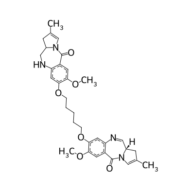 COc1cc2c(cc1OCCCCCOc1cc3c(cc1OC)C(=O)N1C=C(C)CC1CN3)N=C[C@@H]1CC(C)=CN1C2=O